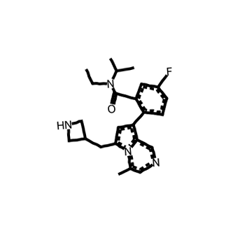 CCN(C(=O)c1cc(F)ccc1-c1cc(CC2CNC2)n2c(C)cncc12)C(C)C